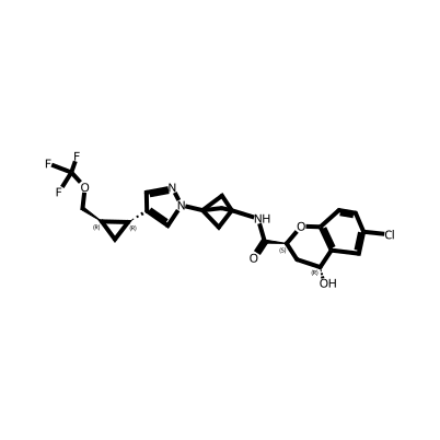 O=C(NC12CC(n3cc([C@@H]4C[C@H]4COC(F)(F)F)cn3)(C1)C2)[C@@H]1C[C@@H](O)c2cc(Cl)ccc2O1